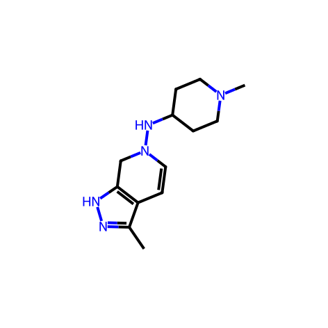 Cc1n[nH]c2c1C=CN(NC1CCN(C)CC1)C2